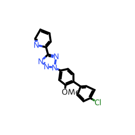 COc1cc(-n2nnc(-c3ccccn3)n2)ccc1-c1ccc(Cl)cc1